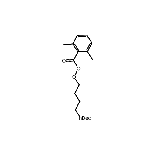 [CH2]CCCCCCCCCCCCCOOC(=O)c1c(C)cccc1C